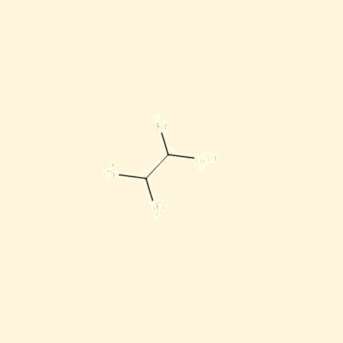 CCCCC(CC)[C](C(C)C)C(C)C